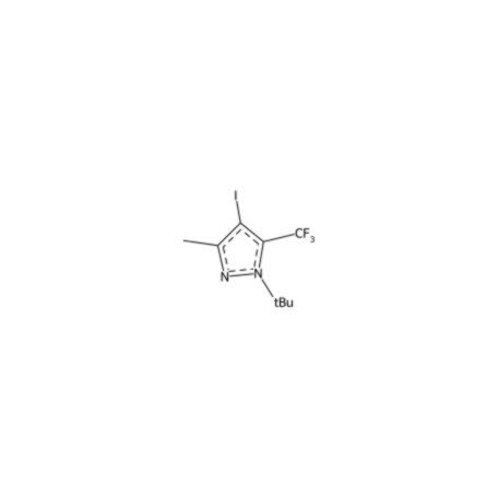 Cc1nn(C(C)(C)C)c(C(F)(F)F)c1I